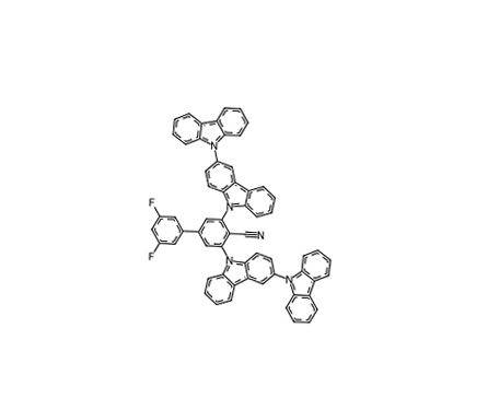 N#Cc1c(-n2c3ccccc3c3cc(-n4c5ccccc5c5ccccc54)ccc32)cc(-c2cc(F)cc(F)c2)cc1-n1c2ccccc2c2cc(-n3c4ccccc4c4ccccc43)ccc21